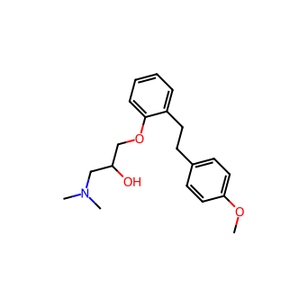 COc1ccc(CCc2ccccc2OCC(O)CN(C)C)cc1